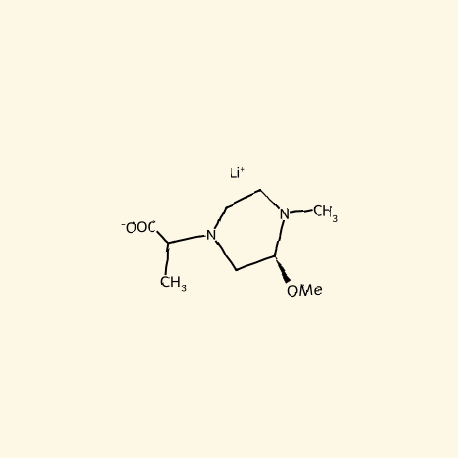 CO[C@H]1CN(C(C)C(=O)[O-])CCN1C.[Li+]